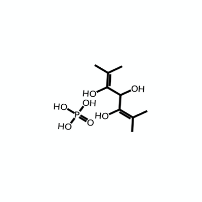 CC(C)=C(O)C(O)C(O)=C(C)C.O=P(O)(O)O